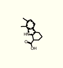 Cc1ccc2c3c([nH]c2c1C)C(C(=O)O)CCC3